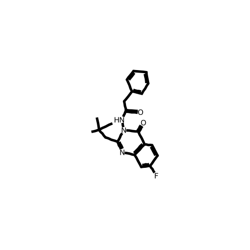 CC(C)(C)Cc1nc2cc(F)ccc2c(=O)n1NC(=O)Cc1ccccc1